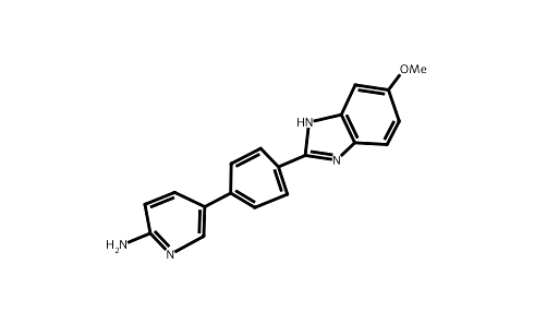 COc1ccc2nc(-c3ccc(-c4ccc(N)nc4)cc3)[nH]c2c1